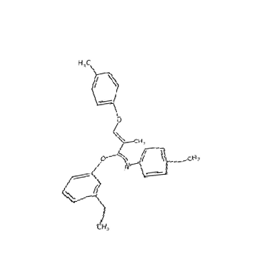 CCc1cccc(OC(=Nc2ccc(C)cc2)C(C)=COc2ccc(C)cc2)c1